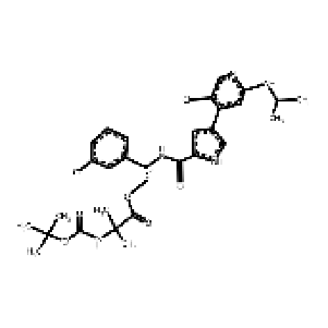 CC(C)Nc1cc(-c2c[nH]c(C(=O)N[C@H](COC(=O)C(C)(C)NC(=O)OC(C)(C)C)c3cccc(Cl)c3)c2)c(Cl)cn1